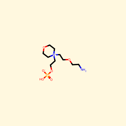 NCCOCC[N+]1(CCOP(=O)([O-])O)CCOCC1